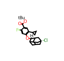 CC(C)(C)OC(=O)c1cc(C2CC2)c(O[C@H]2C3CC4CC2C[C@](Cl)(C4)C3)cc1F